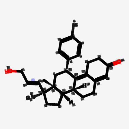 CC(=O)c1ccc([C@H]2C[C@@]3(C)[C@@H](CC[C@]3(/C=C/CO)[N+](=O)[O-])[C@@H]3CCC4=CC(=O)CCC4=C32)cc1